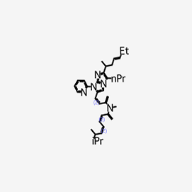 C=C(/C=C\C=C/C(C)C(C)C)N(C)C(=C)/C=C\c1cn2c(CCC)c(C(C)CC=CCC)nc2n1-c1ccccn1